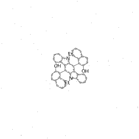 CCn1c2ccccc2c2c(-c3c(O)ccc4ccccc34)c3c(c(-c4c(O)ccc5ccccc45)c21)c1ccccc1n3CC